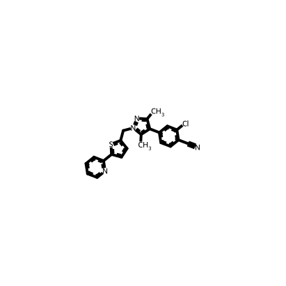 Cc1nn(Cc2ccc(-c3ccccn3)s2)c(C)c1-c1ccc(C#N)c(Cl)c1